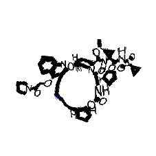 C=C[C@@H]1C[C@]1(NC(=O)[C@@H]1C[C@@H]2CN1C(=O)[C@H](C1CCCC1)NC(=O)O[C@@H]1CCC[C@H]1CC/C=C/Cc1c(nc3ccccc3c1OCC(=O)N1CCCC1)O2)C(=O)NS(=O)(=O)C1CC1